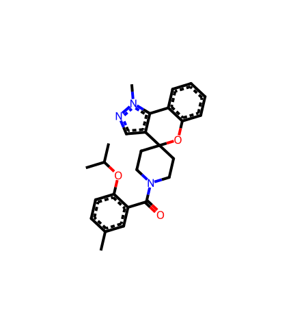 Cc1ccc(OC(C)C)c(C(=O)N2CCC3(CC2)Oc2ccccc2-c2c3cnn2C)c1